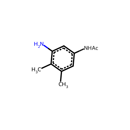 CC(=O)Nc1cc(C)c(C)c(N)c1